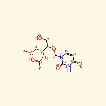 COC[C@@H](OC(C)=O)[C@@H](CO)OCn1ccc(=O)[nH]c1=O